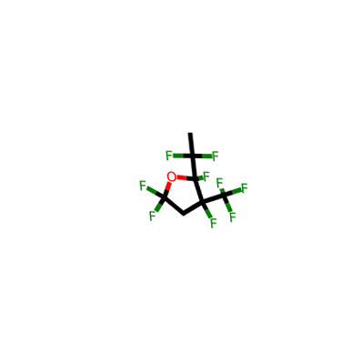 CC(F)(F)C1(F)OC(F)(F)CC1(F)C(F)(F)F